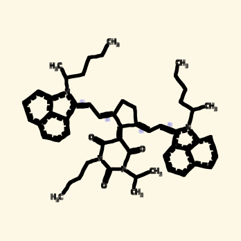 CCCCC(C)n1/c(=C/C=C2\CC/C(=C\C=c3/c4cccc5cccc(c54)n3C(C)CCCC)C2=C2C(=O)N(CCCC)C(=O)N(C(C)C)C2=O)c2cccc3cccc1c32